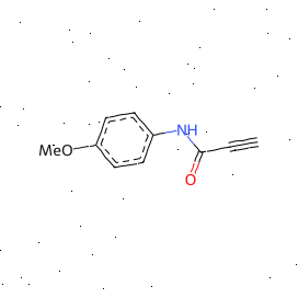 C#CC(=O)Nc1ccc(OC)cc1